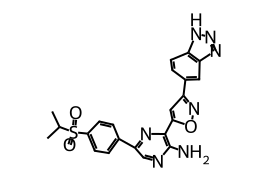 CC(C)S(=O)(=O)c1ccc(-c2cnc(N)c(-c3cc(-c4ccc5[nH]nnc5c4)no3)n2)cc1